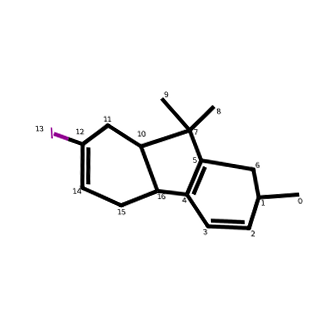 CC1C=CC2=C(C1)C(C)(C)C1CC(I)=CCC21